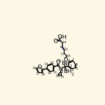 BC(B)(c1ccccc1OCC/C=C/CC(=O)O)N(C(=O)c1ccc(-c2ccco2)cc1)C1CC1